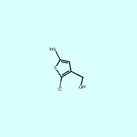 OCc1cc(S)sc1Cl